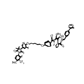 Cc1ncsc1-c1ccc(CNC(=O)C2CCCN2C(=O)C(NC(=O)c2ccc(OCCCCCCOc3ncc(N4C(=S)N(c5ccc(C#N)c(C(F)(F)F)c5F)C(=O)C4(C)C)cc3F)cc2)C(C)(C)C)cc1